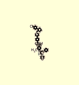 Cc1cc(S(=O)(=O)NC(=O)c2ccc(C3=CCN(CC4=C(c5ccc(Cl)cc5)CCCC4)CC3)cc2)ccc1N[C@H](CCN1CCOCC1)CSc1ccccc1